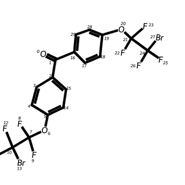 O=C(c1ccc(OC(F)(F)C(F)(F)Br)cc1)c1ccc(OC(F)(F)C(F)(F)Br)cc1